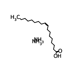 CCCCCCCC/C=C\CCCCCCCC(=O)O.N.N